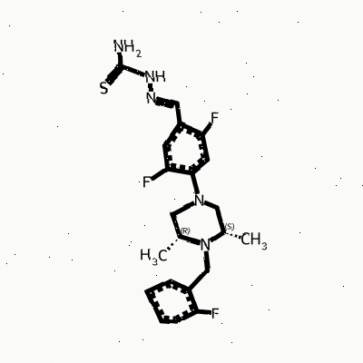 C[C@@H]1CN(c2cc(F)c(C=NNC(N)=S)cc2F)C[C@H](C)N1Cc1ccccc1F